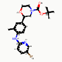 Cc1cc(C2CN(C(=O)OC(C)(C)C)CCO2)ccc1Nc1ccc(Br)cn1